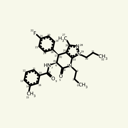 CCCN1C(=O)[C@@H](NC(=O)c2cccc(C)c2)[C@@H](c2ccc(F)cc2)c2c(C)nn(CCC)c21